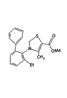 CCc1cccc(-c2ccccc2)c1N1[CH]SC(C(=O)OC)=C1C